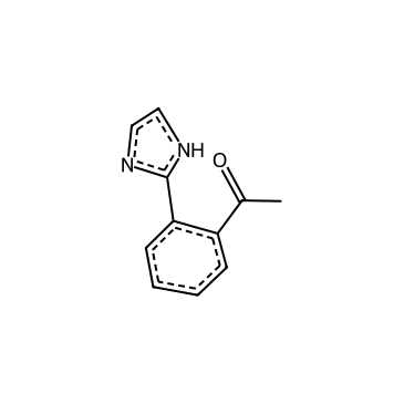 CC(=O)c1ccccc1-c1ncc[nH]1